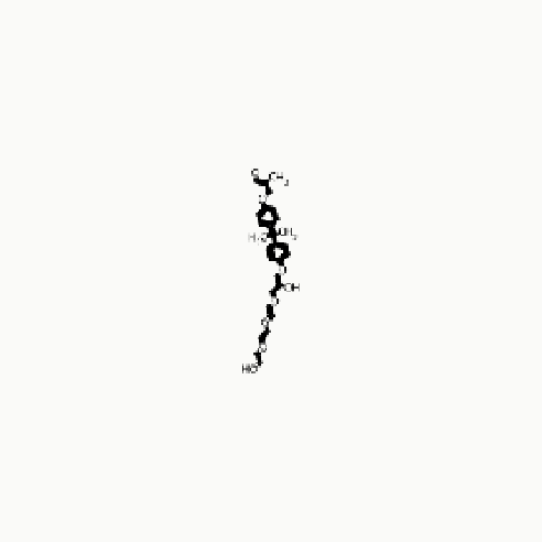 C[C@H](CCl)COc1ccc(C(C)(C)c2ccc(OC[C@H](O)COCCOCCOCCO)cc2)cc1